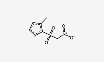 Cc1ccsc1S(=O)(=O)C[N+](=O)[O-]